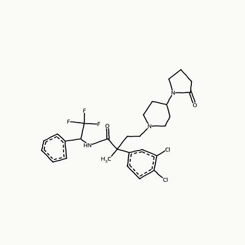 CC(CCN1CCC(N2CCCC2=O)CC1)(C(=O)NC(c1ccccc1)C(F)(F)F)c1ccc(Cl)c(Cl)c1